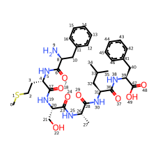 CSCC[C@H](NC(=O)[C@@H](N)Cc1ccccc1)C(=O)N[C@@H](CO)C(=O)N[C@@H](C)C(=O)N[C@@H](CC(C)C)C(=O)N[C@@H](Cc1ccccc1)C(=O)O